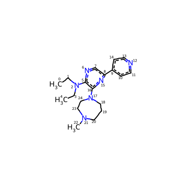 CCN(CC)c1ncc(-c2ccncc2)nc1N1CCCN(C)CC1